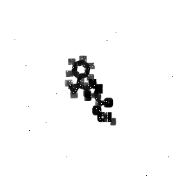 COC(=O)c1nnc(C2(c3ccccc3)CC2)s1